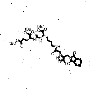 CC(C)(C)OC(=O)CC[C@H](NC(=O)N[C@@H](CCCCNC(=O)Cn1nnc(I)c1CN1C(=O)c2ccccc2C1=O)C(=O)OC(C)(C)C)C(=O)OC(C)(C)C